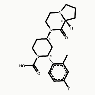 Cc1cc(F)ccc1[C@H]1C[C@H](N2CCN3CCC[C@@H]3C2=O)CCN1C(=O)O